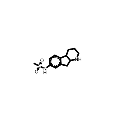 CS(=O)(=O)Nc1ccc2c(c1)CC1NCCCC21